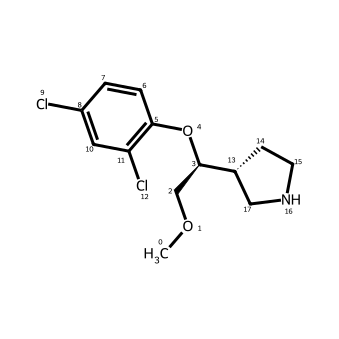 COC[C@@H](Oc1ccc(Cl)cc1Cl)[C@@H]1CCNC1